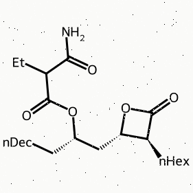 CCCCCCCCCCC[C@@H](C[C@@H]1OC(=O)[C@H]1CCCCCC)OC(=O)C(CC)C(N)=O